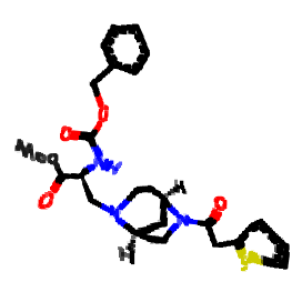 COC(=O)[C@H](CN1C[C@@H]2C[C@H]1CN2C(=O)Cc1cccs1)NC(=O)OCc1ccccc1